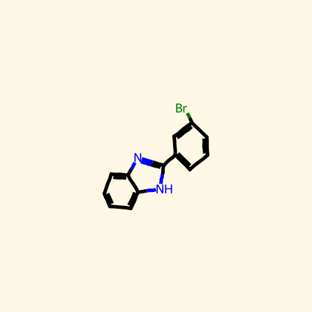 Brc1cccc(-c2nc3ccccc3[nH]2)c1